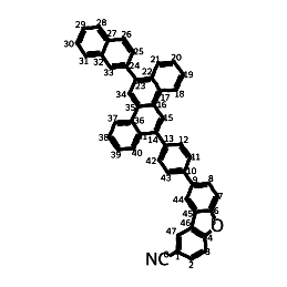 N#Cc1ccc2oc3ccc(-c4ccc(-c5cc6c7ccccc7c(-c7ccc8ccccc8c7)cc6c6ccccc56)cc4)cc3c2c1